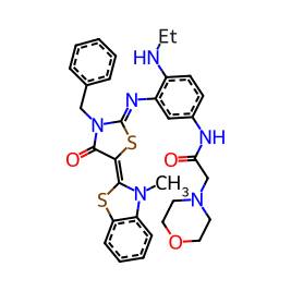 CCNc1ccc(NC(=O)CN2CCOCC2)cc1N=C1SC(=C2Sc3ccccc3N2C)C(=O)N1Cc1ccccc1